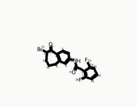 O=C(Nc1ccc2c(c1)CCCC(Br)C2=O)c1c(F)cccc1F